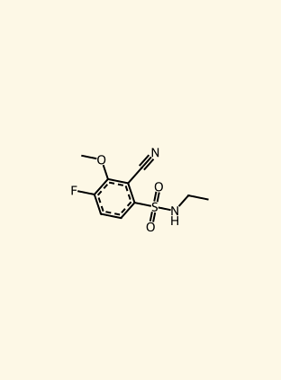 CCNS(=O)(=O)c1ccc(F)c(OC)c1C#N